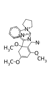 COC1=CC(OC)=C(C[N])C(OC)(c2nc3nc4cccc(c24)[N+]32CCCC2)C1